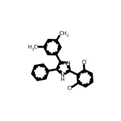 Cc1cc(C)cc(-c2nc(-c3c(Cl)cccc3Cl)[nH]c2-c2ccccc2)c1